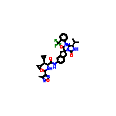 Cc1nonc1C(=O)N[C@H](C(=O)Nc1ccc2c(c1)CC(C(=O)Nc1ccccc1C(F)(F)F)(N1C[C@@H](C(C)C)NC1=O)C2)C(C1CC1)C1CC1